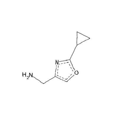 NCc1coc(C2CC2)n1